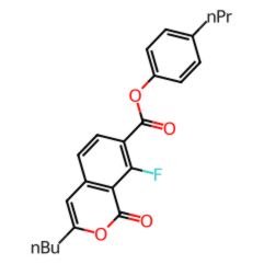 CCCCc1cc2ccc(C(=O)Oc3ccc(CCC)cc3)c(F)c2c(=O)o1